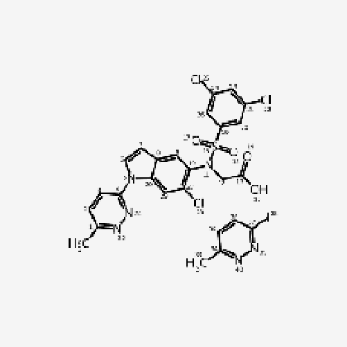 Cc1ccc(-n2ccc3cc(N(CC(=O)O)S(=O)(=O)c4cc(Cl)cc(Cl)c4)c(Cl)cc32)nn1.Cc1ccc(I)nn1